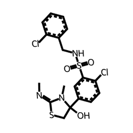 CN=C1SCC(O)(c2ccc(Cl)c(S(=O)(=O)NCc3ccccc3Cl)c2)N1C